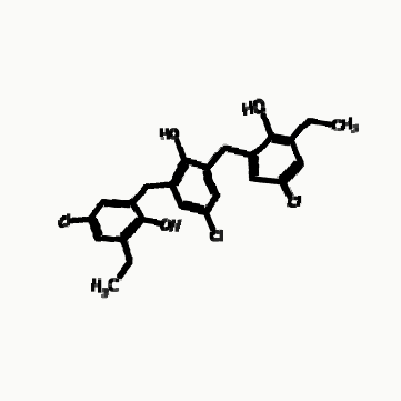 CCc1cc(Cl)cc(Cc2cc(Cl)cc(Cc3cc(Cl)cc(CC)c3O)c2O)c1O